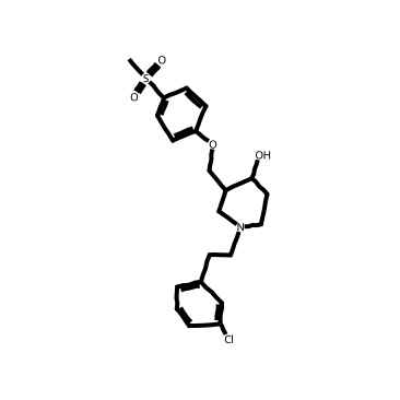 CS(=O)(=O)c1ccc(OCC2CN(CCc3cccc(Cl)c3)CCC2O)cc1